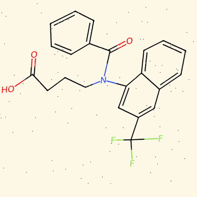 O=C(O)CCCN(C(=O)c1ccccc1)c1cc(C(F)(F)F)cc2ccccc12